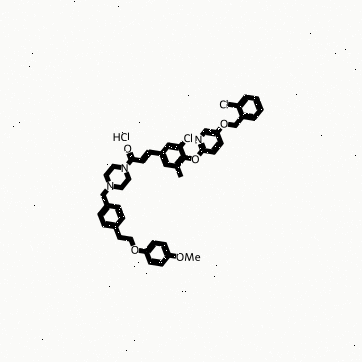 COc1ccc(OCCc2ccc(CN3CCN(C(=O)C=Cc4cc(C)c(Oc5ccc(OCc6ccccc6Cl)cn5)c(Cl)c4)CC3)cc2)cc1.Cl